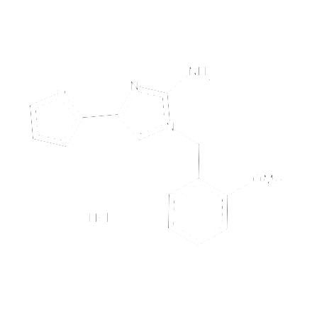 COc1ccccc1Cn1cc(-c2ccco2)nc1N.Cl